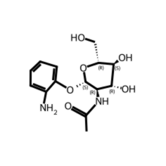 CC(=O)N[C@H]1[C@H](Oc2ccccc2N)O[C@H](CO)[C@@H](O)[C@@H]1O